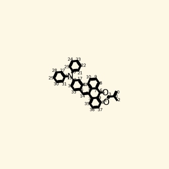 C=C(C)C(=O)OC1c2ccccc2C(=Cc2ccc(N(c3ccccc3)c3ccccc3)cc2)c2ccccc21